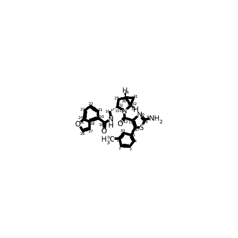 Cc1cccc(-c2sc(N)nc2C(=O)N2[C@H](CNC(=O)c3cccc4occc34)C[C@@H]3C[C@@H]32)c1